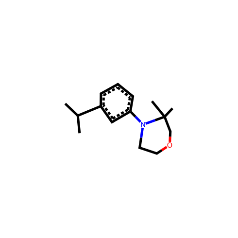 CC(C)c1cccc(N2CCOCC2(C)C)c1